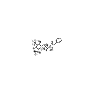 [2H]c1c(OC([2H])([2H])C([2H])(O)C([2H])([2H])NCc2ccccc2)c([2H])c(C([2H])([2H])[2H])c([2H])c1C([2H])([2H])[2H]